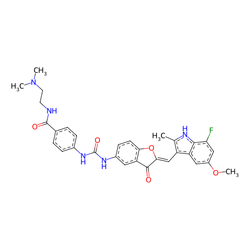 COc1cc(F)c2[nH]c(C)c(C=C3Oc4ccc(NC(=O)Nc5ccc(C(=O)NCCN(C)C)cc5)cc4C3=O)c2c1